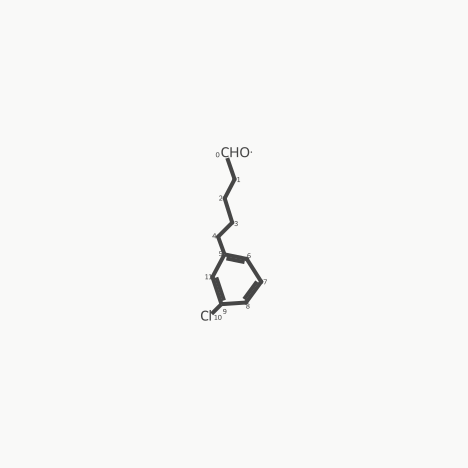 O=[C]CCCCc1cccc(Cl)c1